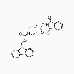 CC1(C(=O)ON2C(=O)c3ccccc3C2=O)CCN(C(=O)OCC2c3ccccc3-c3ccccc32)CC1